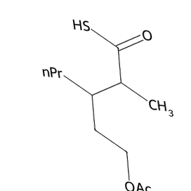 CCCC(CCOC(C)=O)C(C)C(=O)S